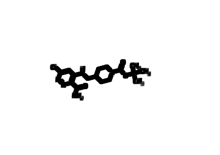 CC(C)(C)OC(=O)N1CCC(CNc2cc(Cl)nnc2C(N)=O)CC1